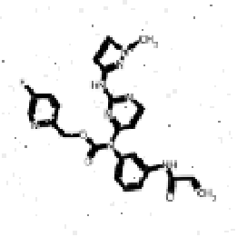 C=CC(=O)Nc1cccc(N(C(=O)OCc2ccc(F)cn2)c2ccnc(Nc3ccn(C)n3)n2)c1